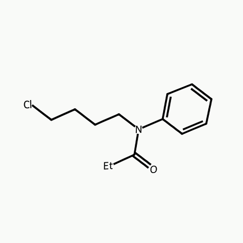 CCC(=O)N(CCCCCl)c1ccccc1